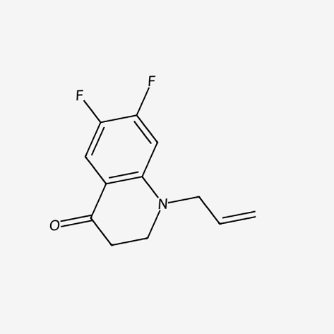 C=CCN1CCC(=O)c2cc(F)c(F)cc21